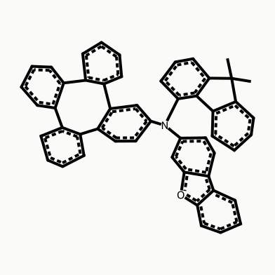 CC1(C)c2ccccc2-c2c(N(c3ccc4c(c3)-c3ccccc3-c3ccccc3-c3ccccc3-4)c3ccc4c(c3)oc3ccccc34)cccc21